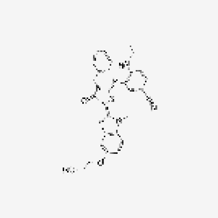 CCNc1ccc(C#N)cc1N=C1SC(=C2Sc3cc(OCCO)ccc3N2C)C(=O)N1Cc1ccccc1